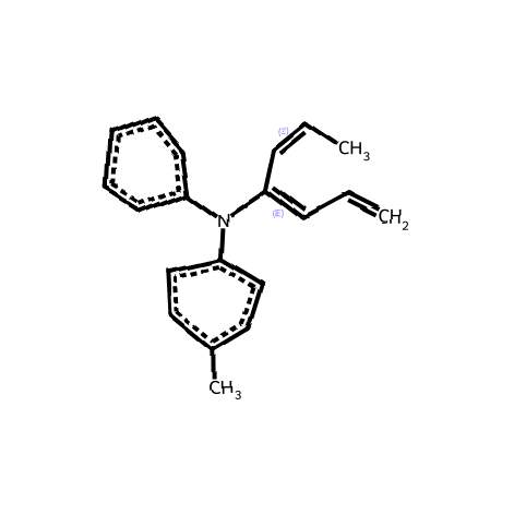 C=C/C=C(\C=C/C)N(c1ccccc1)c1ccc(C)cc1